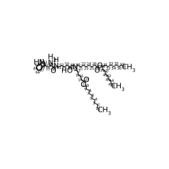 CCCCCCCCCCCOC(=O)CCCCCN(CCCCCCCC(=O)OC(CCCCCCCC)CCCCCCCC)CC(O)CCCCNC(=O)[C@@H](N)Cc1c[nH]c2ccccc12